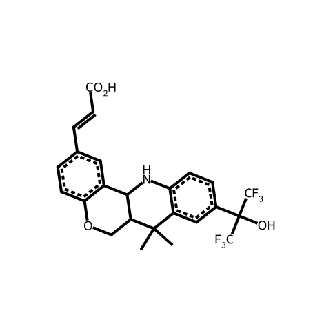 CC1(C)c2cc(C(O)(C(F)(F)F)C(F)(F)F)ccc2NC2c3cc(C=CC(=O)O)ccc3OCC21